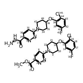 COC(=O)c1ccc(N2CCC(Oc3cc(F)ccc3Cl)CC2)nn1.NNC(=O)c1ccc(N2CCC(Oc3cc(F)ccc3Cl)CC2)nn1